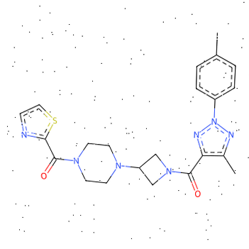 Cc1ccc(-n2nc(C)c(C(=O)N3CC(N4CCN(C(=O)c5nccs5)CC4)C3)n2)cc1